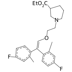 CCOC(=O)C1CCCN(CCOC=C(c2ccc(F)cc2C)c2ccc(F)cc2C)C1